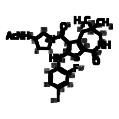 CC(=O)NC1CCN(C(=O)c2c(Nc3ccc(I)cc3F)sc3c2CC(C)(C)CNC3=O)C1